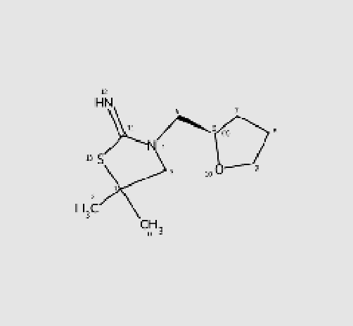 CC1(C)CN(C[C@H]2CCCO2)C(=N)S1